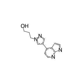 OCCCn1cc(-c2ccnc3c2C=C=N3)cn1